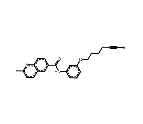 CCC#CCCCCOc1cccc(NC(=O)c2ccc3nc(C)ccc3c2)c1